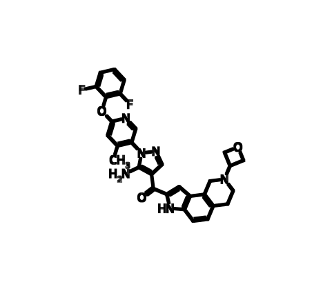 Cc1cc(Oc2c(F)cccc2F)ncc1-n1ncc(C(=O)c2cc3c4c(ccc3[nH]2)CCN(C2COC2)C4)c1N